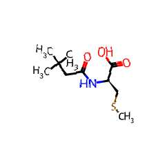 CSC[C@@H](NC(=O)CC(C)(C)C)C(=O)O